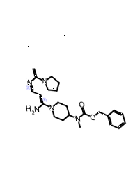 C=C(/N=C\C=C(/N)N1CCC(N(C)C(=O)OCc2ccccc2)CC1)N1CCCC1